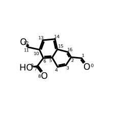 O=Cc1ccc2c(C(=O)O)c(C=O)ccc2c1